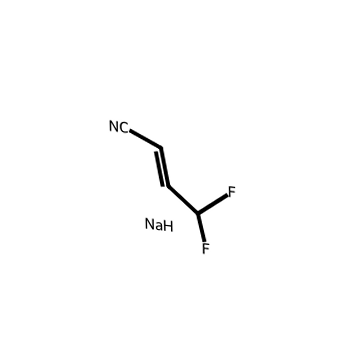 N#CC=CC(F)F.[NaH]